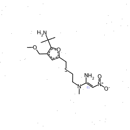 COCc1cc(CSCCN(C)/C(N)=C/[N+](=O)[O-])oc1C(C)(C)N